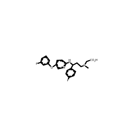 CN(CCC(Nc1ccc(Oc2cccc(F)c2)cn1)c1ccc(F)cc1)CC(=O)O